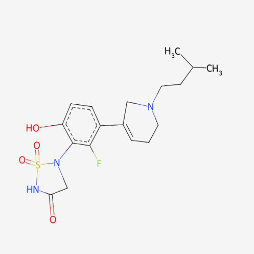 CC(C)CCN1CCC=C(c2ccc(O)c(N3CC(=O)NS3(=O)=O)c2F)C1